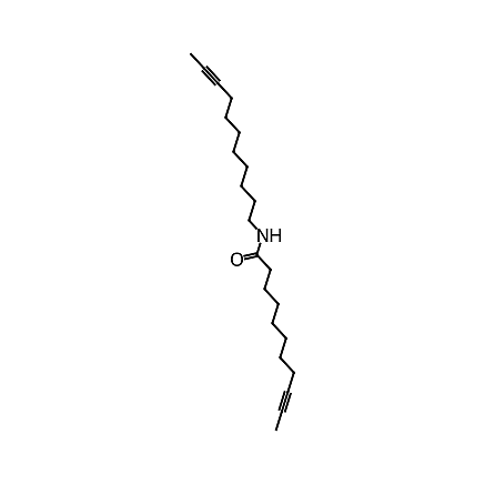 CC#CCCCCCCCCNC(=O)CCCCCCCC#CC